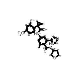 Cc1cc(NC(=O)C2(c3ccc(C(F)(F)F)cc3F)CC2)cc(-c2nnn[nH]2)c1C(=O)OC1CCOC1